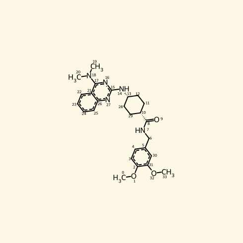 COc1ccc(CNC(=O)[C@H]2CC[C@@H](Nc3nc(N(C)C)c4ccccc4n3)CC2)cc1OC